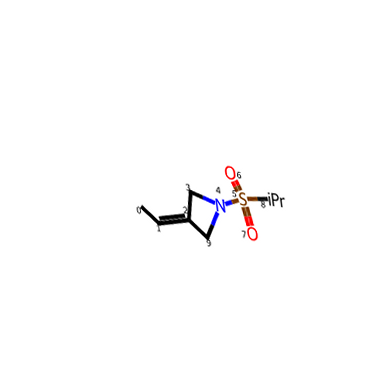 CC=C1CN(S(=O)(=O)C(C)C)C1